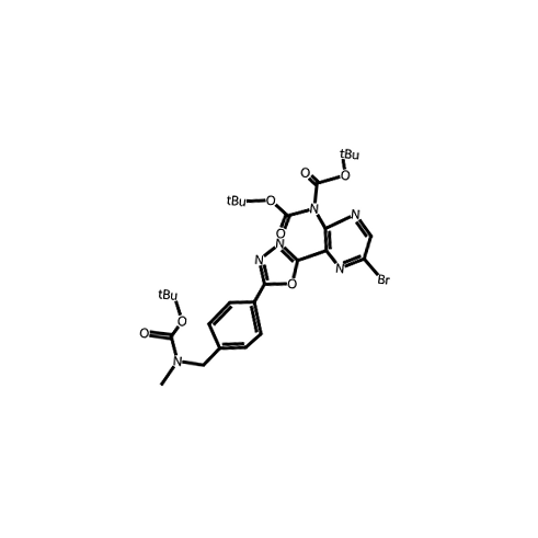 CN(Cc1ccc(-c2nnc(-c3nc(Br)cnc3N(C(=O)OC(C)(C)C)C(=O)OC(C)(C)C)o2)cc1)C(=O)OC(C)(C)C